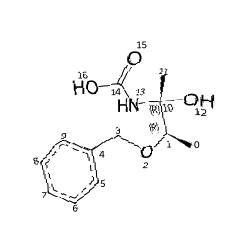 C[C@@H](OCc1ccccc1)[C@@](C)(O)NC(=O)O